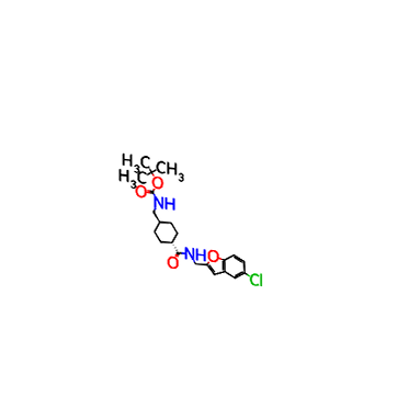 CC(C)(C)OC(=O)NC[C@H]1CC[C@H](C(=O)NCc2cc3cc(Cl)ccc3o2)CC1